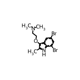 Cc1[nH]c2c(Br)cc(Br)cc2c1OCCN(C)C